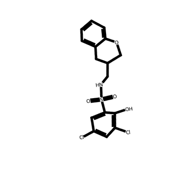 O=S(=O)(NCC1COc2ccccc2C1)c1cc(Cl)cc(Cl)c1O